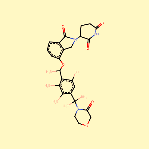 Bc1cc(C(B)(B)N2CCOCC2=O)c(B)c(B)c1C(B)Oc1cccc2c1CN(C1CCC(=O)NC1=O)C2=O